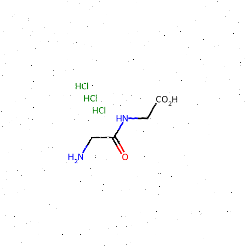 Cl.Cl.Cl.NCC(=O)NCC(=O)O